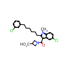 Cn1c(CCCCCCc2cccc(Cl)c2)c(C(=O)N2CC(C(=O)O)C2)c2cc(Cl)ccc21